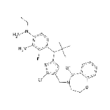 CCN(N)c1ccc(C(c2cc(CN3CCOc4ccccc4[S+]3[O-])c(Cl)s2)C(C)(C)C)c(F)c1N